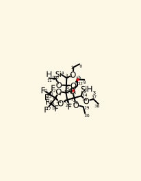 CCOC([SiH3])C(OCC)(OCC)C1(F)OC(C(F)(F)F)(C(F)(F)F)OC1(F)C(OCC)(OCC)C([SiH3])OCC